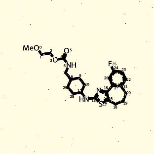 COCCOC(=O)NCC1CCC(Nc2nc3c(s2)CCCc2ccc(F)cc2-3)CC1